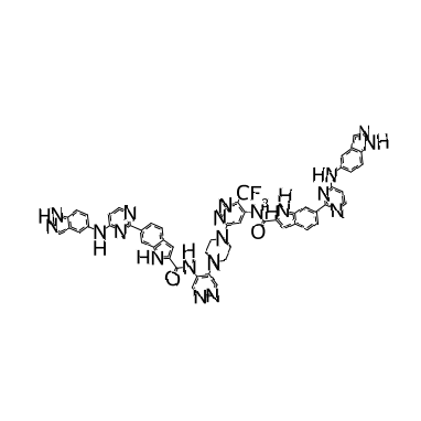 O=C(Nc1cnncc1N1CCN(c2cc(NC(=O)c3cc4ccc(-c5nccc(Nc6ccc7[nH]ncc7c6)n5)cc4[nH]3)c(C(F)(F)F)nn2)CC1)c1cc2ccc(-c3nccc(Nc4ccc5[nH]ncc5c4)n3)cc2[nH]1